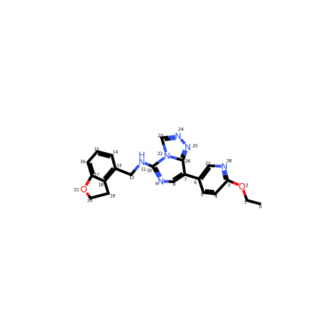 CCOc1ccc(-c2cnc(NCc3cccc4c3CCO4)n3cnnc23)cn1